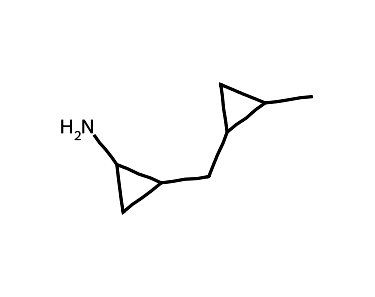 CC1CC1CC1CC1N